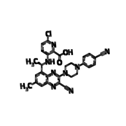 Cc1cc([C@@H](C)Nc2ccc(Cl)nc2C(=O)O)c2nc(N3CCN(c4ccc(C#N)cc4)CC3)c(C#N)nc2c1